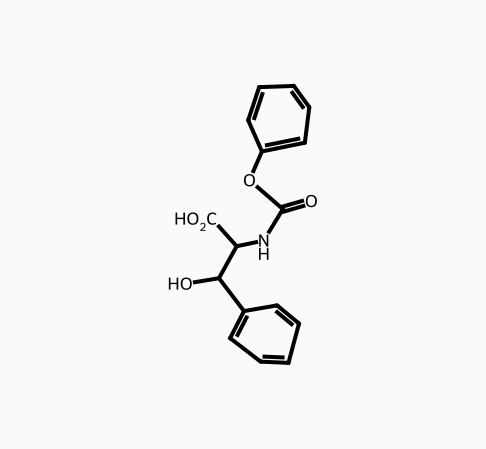 O=C(NC(C(=O)O)C(O)c1ccccc1)Oc1ccccc1